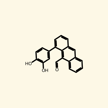 O=Cc1c2ccccc2cc2cccc(-c3ccc(O)c(O)c3)c12